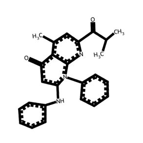 Cc1cc(C(=O)C(C)C)nc2c1c(=O)cc(Nc1ccccc1)n2-c1ccccc1